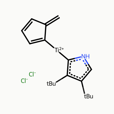 C=C1C=CC=[C]1[Ti+2][c]1[nH]cc(C(C)(C)C)c1C(C)(C)C.[Cl-].[Cl-]